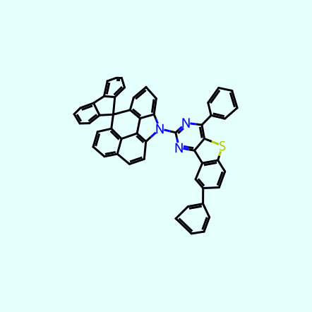 c1ccc(-c2ccc3sc4c(-c5ccccc5)nc(-n5c6cccc7c6c6c8c(cccc8ccc65)C75c6ccccc6-c6ccccc65)nc4c3c2)cc1